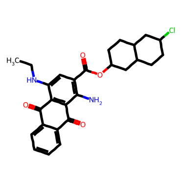 CCNc1cc(C(=O)OC2CCC3CC(Cl)CCC3C2)c(N)c2c1C(=O)c1ccccc1C2=O